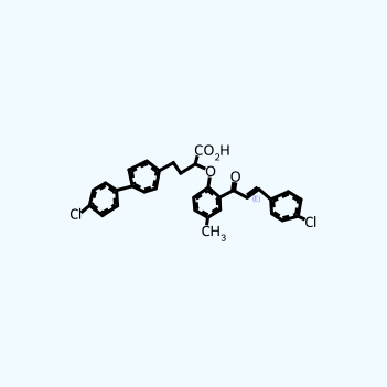 Cc1ccc(OC(CCc2ccc(-c3ccc(Cl)cc3)cc2)C(=O)O)c(C(=O)/C=C/c2ccc(Cl)cc2)c1